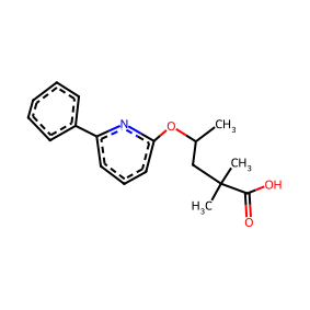 CC(CC(C)(C)C(=O)O)Oc1cccc(-c2ccccc2)n1